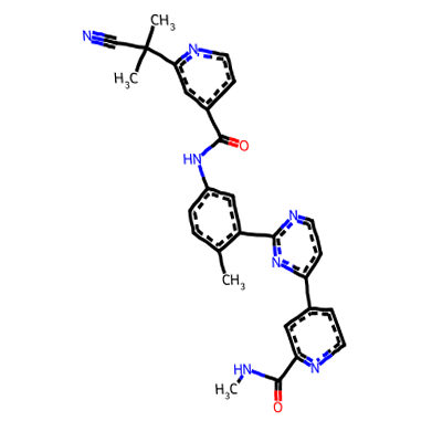 CNC(=O)c1cc(-c2ccnc(-c3cc(NC(=O)c4ccnc(C(C)(C)C#N)c4)ccc3C)n2)ccn1